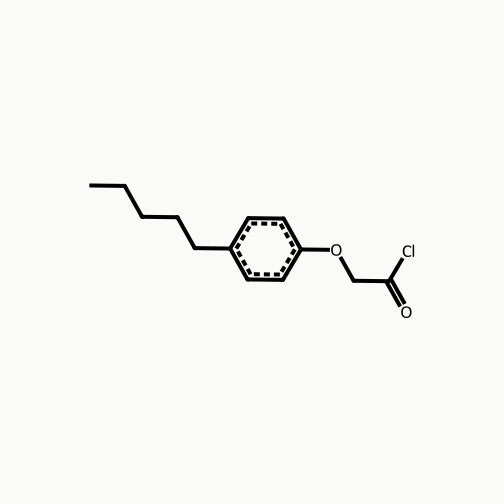 CCCCCc1ccc(OCC(=O)Cl)cc1